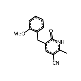 COc1ccccc1Cc1cc(C#N)c(C)[nH]c1=O